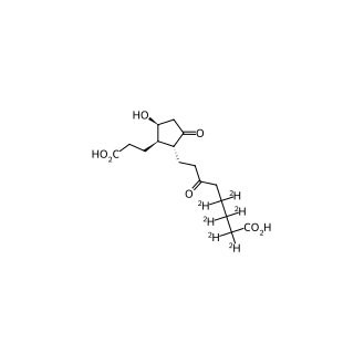 [2H]C([2H])(CC(=O)CC[C@H]1C(=O)C[C@H](O)[C@@H]1CCC(=O)O)C([2H])([2H])C([2H])([2H])C(=O)O